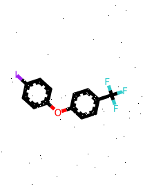 FC(F)(F)c1ccc(Oc2ccc(I)cc2)cc1